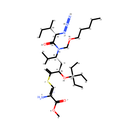 C=C(S/C=C(\N)C(=O)OC)[C@@H](C[C@H](C(C)C)N(COCCCCC)C(=O)[C@@H](N=[N+]=[N-])C(C)CC)O[Si](CC)(CC)CC